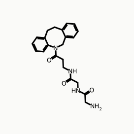 NCC(=O)NCC(=O)NCCC(=O)N1Cc2ccccc2CCc2ccccc21